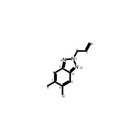 C=CCn1nc2cc(C)c(C)cc2n1